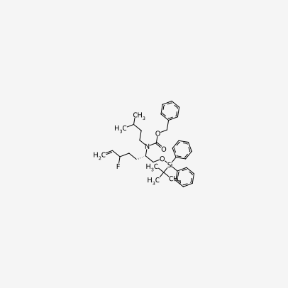 C=CC(F)CC[C@@H](CO[Si](c1ccccc1)(c1ccccc1)C(C)(C)C)N(CCC(C)C)C(=O)OCc1ccccc1